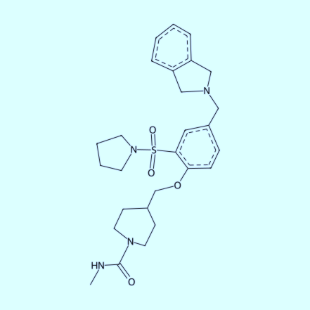 CNC(=O)N1CCC(COc2ccc(CN3Cc4ccccc4C3)cc2S(=O)(=O)N2CCCC2)CC1